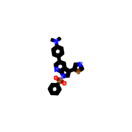 CN(C)c1ccc(-c2cnc3c(c2)c(-c2cncs2)cn3S(=O)(=O)c2ccccc2)cc1